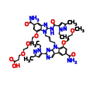 CCn1nc(C)cc1C(=O)Nc1nc2cc(C(N)=O)cc(OCCOCCOCCC(=O)O)c2n1C/C=C/Cn1c2nc(-c3cc(C)nn3CC)ncc2c2cc(C(N)=O)cc(OCCCOC)c21